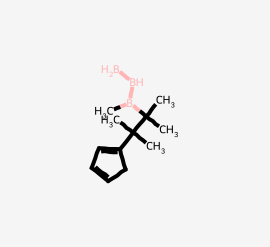 BBB(C)C(C)(C)C(C)(C)C1=CC=CC1